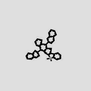 C[Si]1(C)c2ccccc2-c2cc3c(-c4ccc5ccccc5c4)c4ccccc4c(-c4ccc5ccccc5c4)c3cc21